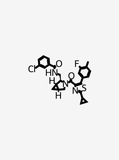 Cc1ccc(-c2sc(C3CC3)nc2C(=O)N2C[C@@H]3C[C@@H]3[C@H]2CNC(=O)c2cccc(Cl)c2)cc1F